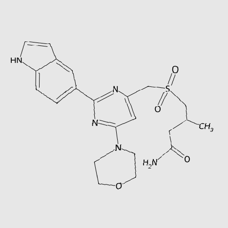 CC(CC(N)=O)CS(=O)(=O)Cc1cc(N2CCOCC2)nc(-c2ccc3[nH]ccc3c2)n1